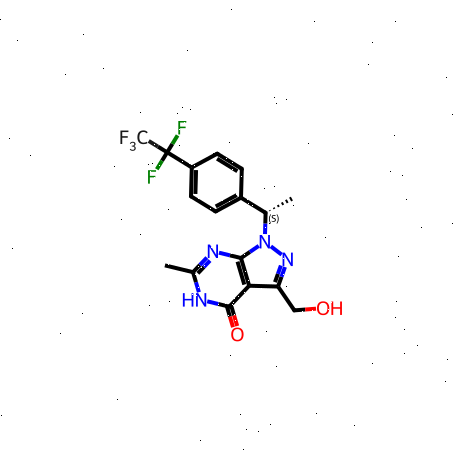 Cc1nc2c(c(CO)nn2[C@@H](C)c2ccc(C(F)(F)C(F)(F)F)cc2)c(=O)[nH]1